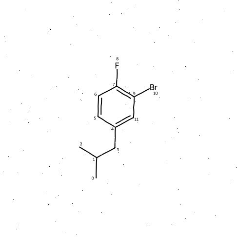 CC(C)Cc1ccc(F)c(Br)c1